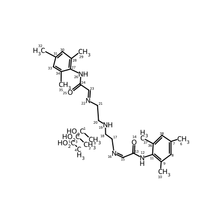 CC(=O)O.CC(=O)O.CC(=O)O.Cc1cc(C)c(NC(=O)/C=N\CCNCC/N=C/C(=O)Nc2c(C)cc(C)cc2C)c(C)c1